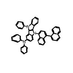 c1ccc(N(c2ccccc2)c2ccc3c(c2)c2c(c4ccccc4n2-c2ccccc2)n3-c2ccc(-c3cccc4ccccc34)c3ccccc23)cc1